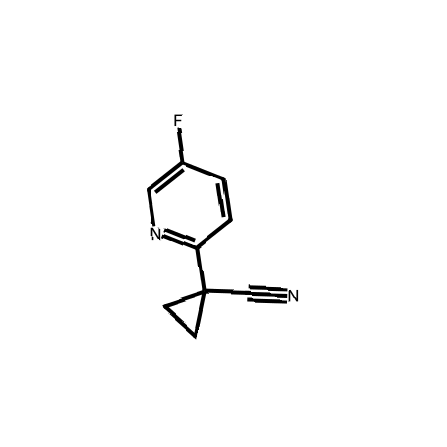 N#CC1(c2ccc(F)cn2)CC1